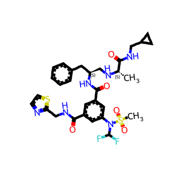 C[C@H](NC[C@H](Cc1ccccc1)NC(=O)c1cc(C(=O)NCc2nccs2)cc(N(C(F)F)S(C)(=O)=O)c1)C(=O)NCC1CC1